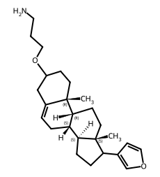 C[C@]12CCC(OCCCN)CC1=CC[C@@H]1[C@H]2CC[C@]2(C)C(c3ccoc3)CC[C@@H]12